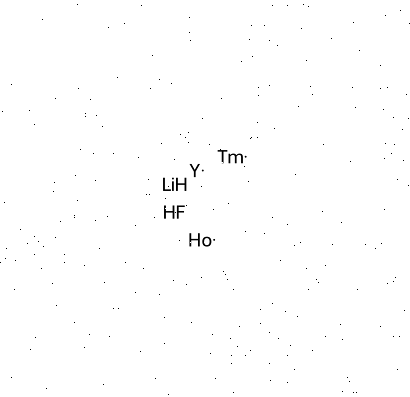 F.[Ho].[LiH].[Tm].[Y]